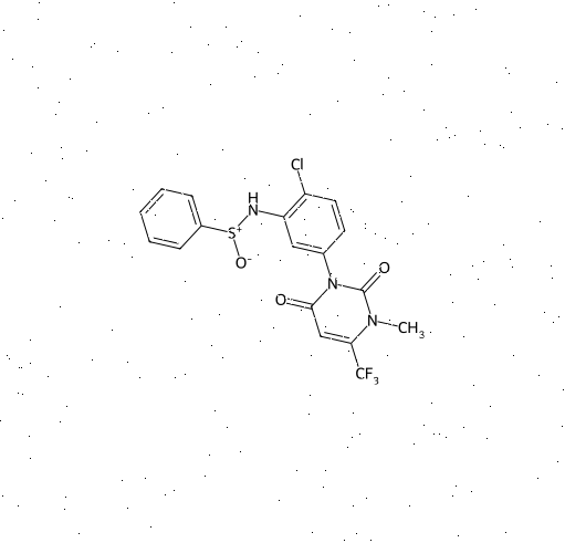 Cn1c(C(F)(F)F)cc(=O)n(-c2ccc(Cl)c(N[S+]([O-])c3ccccc3)c2)c1=O